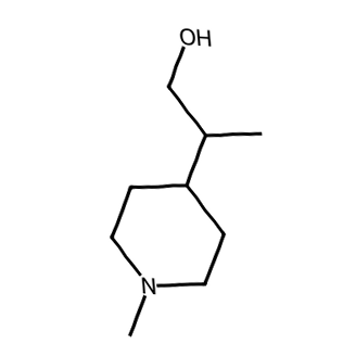 CC(CO)C1CCN(C)CC1